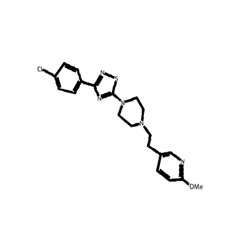 COc1ccc(CCN2CCN(c3nc(-c4ccc(Cl)cc4)ns3)CC2)cn1